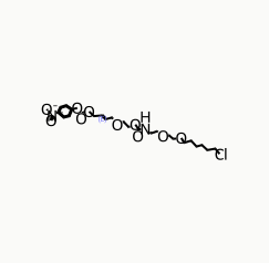 O=C(NCCOCCOCCCCCCCl)OCCOC/C=C/COC(=O)Oc1ccc([N+](=O)[O-])cc1